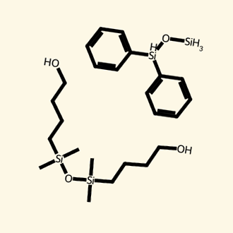 C[Si](C)(CCCCO)O[Si](C)(C)CCCCO.[SiH3]O[SiH](c1ccccc1)c1ccccc1